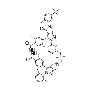 Cc1cc(-c2c3c(nn2-c2c(C)ccc(CC(C)(C)CN4Cc5nn(-c6c(C)cccc6C)c(-c6ccc(C(N)=O)cc6)c5C4)c2C)CN(c2cc(C(C)(C)C)ccc2C)C3=O)ccc1C(N)=O